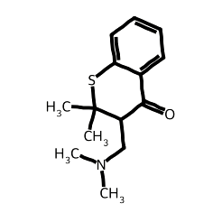 CN(C)CC1C(=O)c2ccccc2SC1(C)C